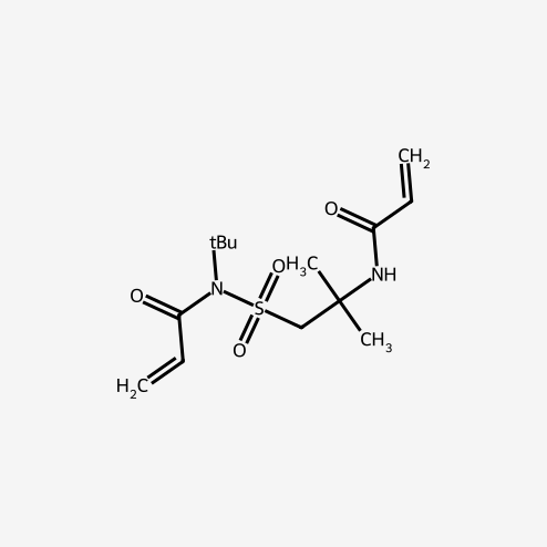 C=CC(=O)NC(C)(C)CS(=O)(=O)N(C(=O)C=C)C(C)(C)C